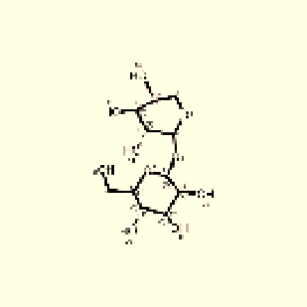 OC[C@H]1O[C@@H](OC2OC[C@H](O)[C@H](O)[C@H]2O)[C@@H](O)[C@@H](O)[C@@H]1O